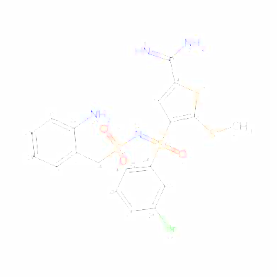 CSc1sc(C(=N)N)cc1S(=O)(=NS(=O)(=O)Cc1ccccc1N)c1cccc(Br)c1